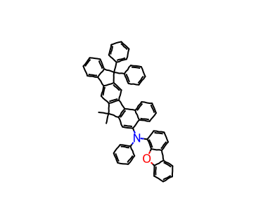 CC1(C)c2cc3c(cc2-c2c1cc(N(c1ccccc1)c1cccc4c1oc1ccccc14)c1ccccc21)C(c1ccccc1)(c1ccccc1)c1ccccc1-3